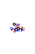 Cc1noc(C)c1-c1cc(S(=O)(=O)NC2CCCC2)c2cc(-n3ccnc3)c(=O)[nH]c2c1